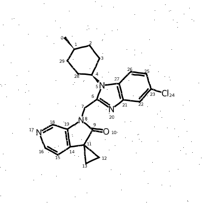 C[C@H]1CC[C@@H](n2c(CN3C(=O)C4(CC4)c4ccncc43)nc3cc(Cl)ccc32)CC1